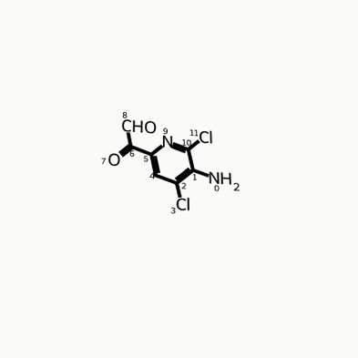 Nc1c(Cl)cc(C(=O)C=O)nc1Cl